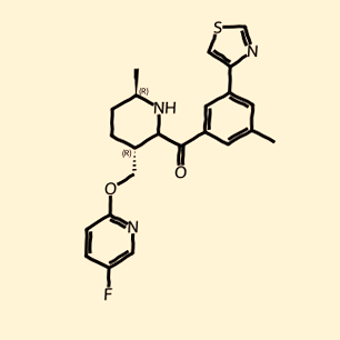 Cc1cc(C(=O)C2N[C@H](C)CC[C@H]2COc2ccc(F)cn2)cc(-c2cscn2)c1